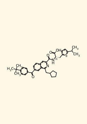 CC(C)c1ccc(C[C@H](NC(=O)c2cc3ccc(C(=O)c4ccc(C(C)(C)C)cc4)cc3c(CC3CCCC3)n2)C(=O)O)s1